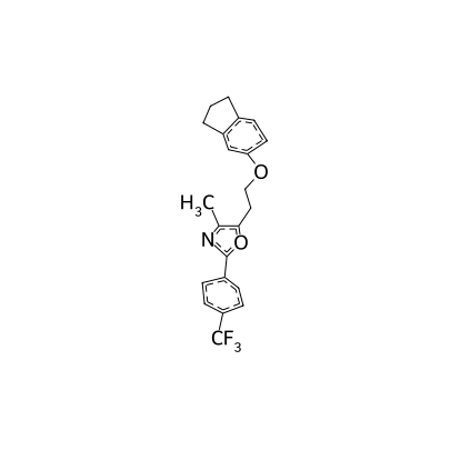 Cc1nc(-c2ccc(C(F)(F)F)cc2)oc1CCOc1ccc2c(c1)CCC2